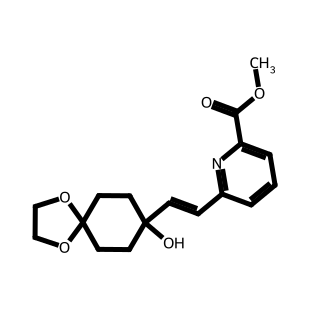 COC(=O)c1cccc(/C=C/C2(O)CCC3(CC2)OCCO3)n1